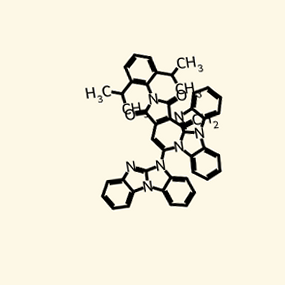 C=CC1=C(C=C(n2c3ccccc3n3c4ccccc4nc23)n2c3ccccc3n3c4ccccc4nc23)C(=O)N(c2c(C(C)C)cccc2C(C)C)C1=O